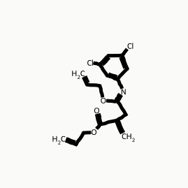 C=CCOC(=O)C(=C)CC(=Nc1cc(Cl)cc(Cl)c1)OCC=C